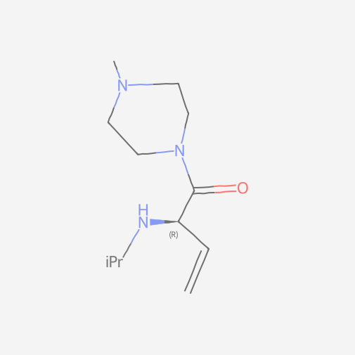 C=C[C@@H](NC(C)C)C(=O)N1CCN(C)CC1